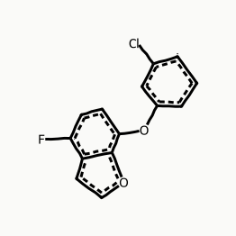 Fc1ccc(Oc2cc[c]c(Cl)c2)c2occc12